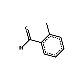 Cc1ccccc1C([NH])=O